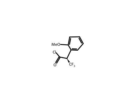 COc1ccccc1[C@H](C(=O)Cl)C(F)(F)F